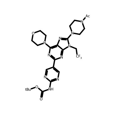 CC(=O)N1CCN(c2nc3c(N4CCOCC4)nc(-c4cnc(NC(=O)OC(C)(C)C)nc4)nc3n2CC(F)(F)F)CC1